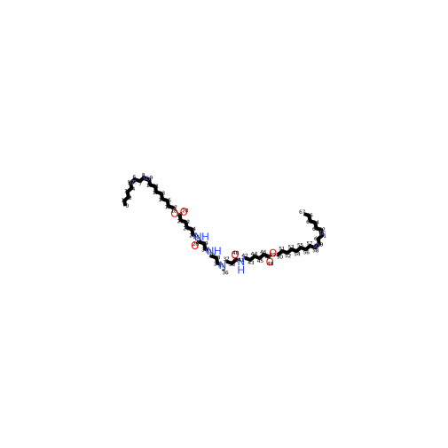 CCCCC/C=C\C/C=C\CCCCCCCCOC(=O)CCCCCNC(=O)CCNCCCN(C)CCC(=O)NCCCCCC(=O)OCCCCCCCC/C=C\C/C=C\CCCCC